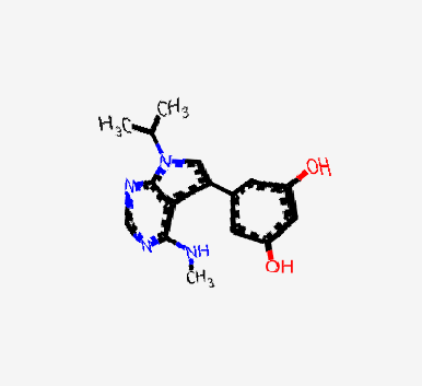 CNc1ncnc2c1c(-c1cc(O)cc(O)c1)cn2C(C)C